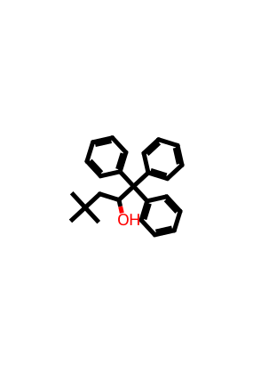 CC(C)(C)CC(O)C(c1ccccc1)(c1ccccc1)c1ccccc1